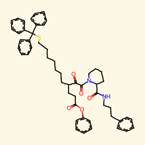 O=C(CCC(CCCCCCCSC(c1ccccc1)(c1ccccc1)c1ccccc1)C(=O)C(=O)N1CCCCC1C(=O)NCCCc1ccccc1)Oc1ccccc1